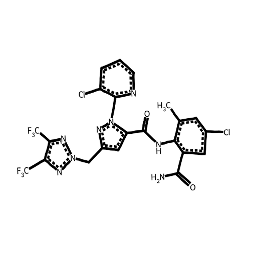 Cc1cc(Cl)cc(C(N)=O)c1NC(=O)c1cc(Cn2nc(C(F)(F)F)c(C(F)(F)F)n2)nn1-c1ncccc1Cl